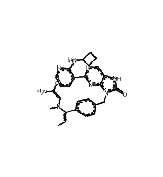 C/C=C(/c1ccc(Cn2c(=O)[nH]c3cnc(-c4cccnc4NC4CCC4)nc32)cc1)N(C)/C=C(\N)C(F)(F)F